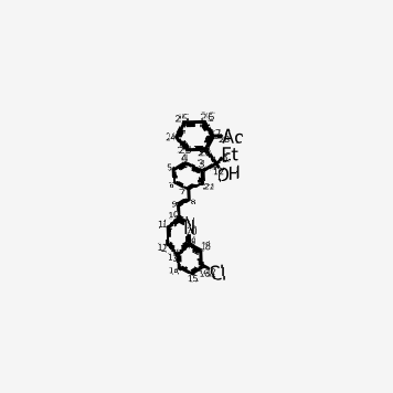 CCC(O)(c1cccc(C=Cc2ccc3ccc(Cl)cc3n2)c1)c1ccccc1C(C)=O